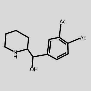 CC(=O)c1ccc(C(O)C2CCCCN2)cc1C(C)=O